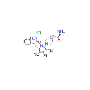 CCc1c(C#N)c(SC(C(N)=O)c2ccccc2)nc(N2CCC(NC(=O)[C@@H](C)N)CC2)c1C#N.Cl